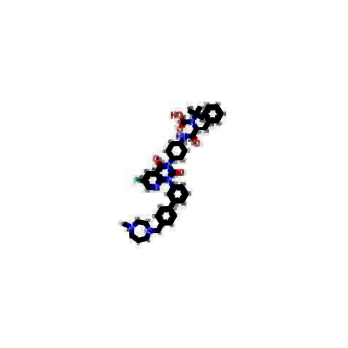 CN1CCCN(Cc2ccc(-c3cccc(-n4c(=O)n(C5CCC(NC(=O)[C@H](Cc6ccccc6)N(C(=O)O)C(C)(C)C)CC5)c(=O)c5cc(F)cnc54)c3)cc2)CC1